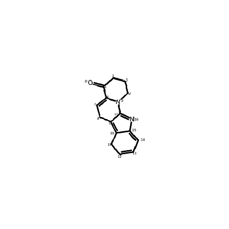 O=C1CCCN2C1=CCC1=C3CC=CC=C3N=C12